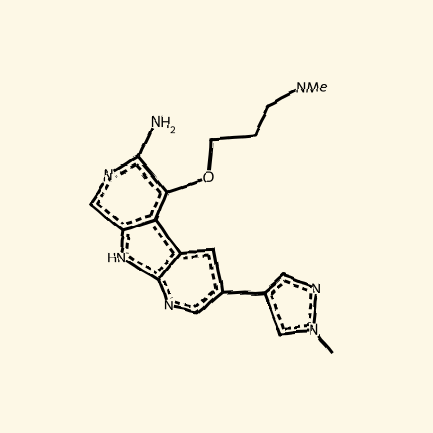 CNCCCOc1c(N)ncc2[nH]c3ncc(-c4cnn(C)c4)cc3c12